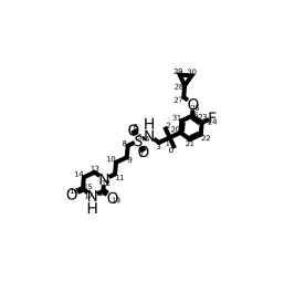 CC(C)(CNS(=O)(=O)CCCCN1CCC(=O)NC1=O)c1ccc(F)c(OCC2CC2)c1